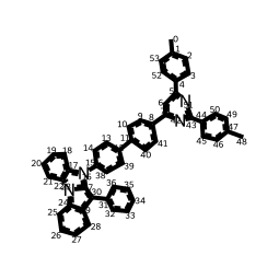 Cc1ccc(-c2cc(-c3ccc(-c4ccc(-n5c6ccccc6n6c7ccccc7c(-c7ccccc7)c56)cc4)cc3)nc(-c3ccc(C)cc3)n2)cc1